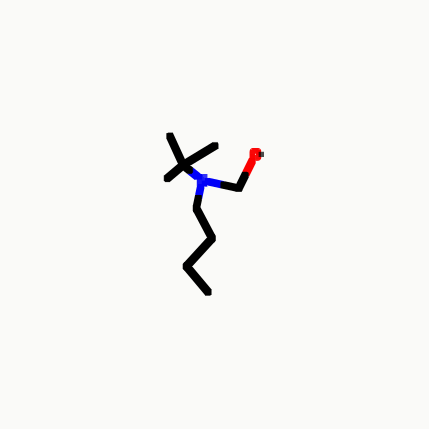 CCCCN(C[O])C(C)(C)C